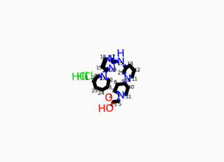 Cl.Cl.O=C(O)CN1CCC(N2CCCC(Nc3nccc(N4CCCCCC4)n3)C2)CC1